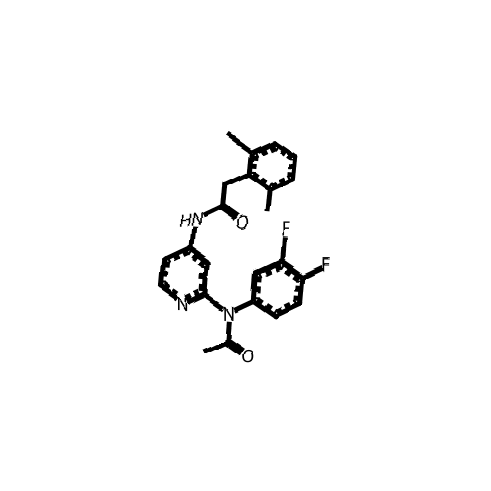 CC(=O)N(c1ccc(F)c(F)c1)c1cc(NC(=O)Cc2c(C)cccc2C)ccn1